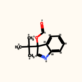 CC(C)(C)C1(OC=O)C=Nc2ccccc21